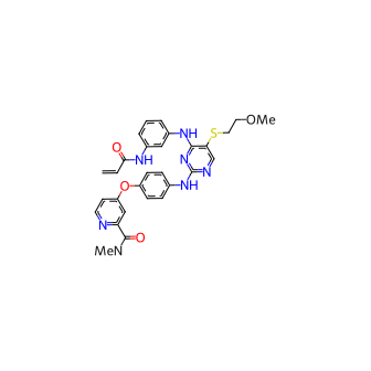 C=CC(=O)Nc1cccc(Nc2nc(Nc3ccc(Oc4ccnc(C(=O)NC)c4)cc3)ncc2SCCOC)c1